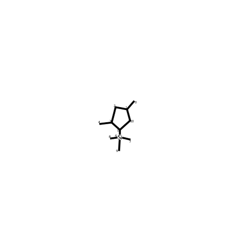 CC1CC(C)C([Si](C)(C)C)C1